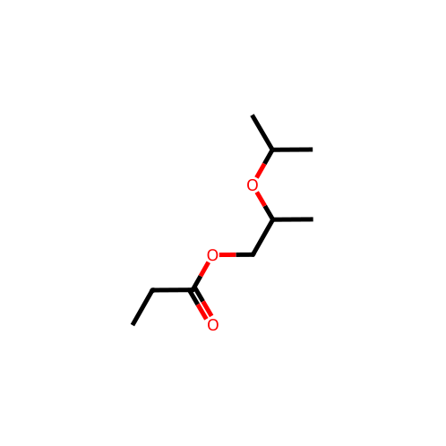 CCC(=O)OCC(C)OC(C)C